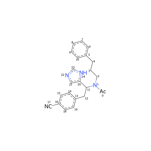 CC(=O)N(CCCc1ccccc1)C(Cc1ccc(C#N)cc1)c1cnc[nH]1